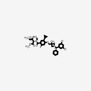 C/C=C(\C)[C@@H](C(=O)OC)N(CO)C(=O)c1cc(C2CC2)c(OCC2(C)CN([C@H](c3ccccc3)c3cc(Cl)cc(Cl)c3)C2)cc1F